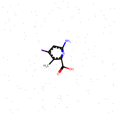 Cc1c(I)cc(N)nc1C(=O)O